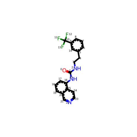 O=C(NCCc1cccc(C(F)(F)F)c1)Nc1cccc2cnccc12